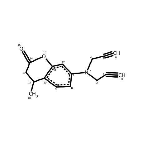 C#CCN(CC#C)c1ccc2c(c1)OC(=O)CC2C